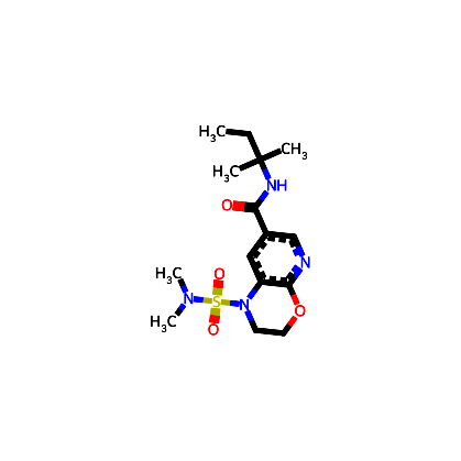 CCC(C)(C)NC(=O)c1cnc2c(c1)N(S(=O)(=O)N(C)C)CCO2